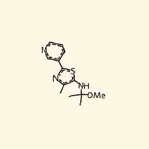 COC(C)(C)Nc1sc(-c2cccnc2)nc1C